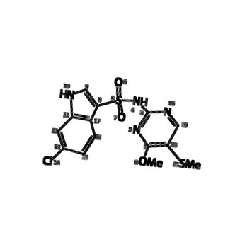 COc1nc(NS(=O)(=O)c2c[nH]c3cc(Cl)ccc23)ncc1SC